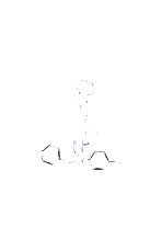 Cc1ccc2c(c1)c(OCCCN1CCCC1)nn2Cc1ccccc1